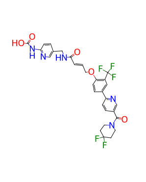 O=C(O)Nc1ccc(CNC(=O)C=CCOc2ccc(-c3ccc(C(=O)N4CCC(F)(F)CC4)cn3)cc2C(F)(F)F)cn1